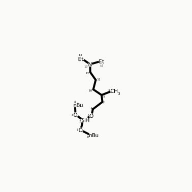 CCCCO[SiH](OCCCC)OCCC(C)CCCN(CC)CC